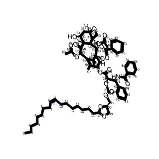 CCCCCCCC/C=C\CCCCCCCC1OC[C@H](COC(=O)O[C@@H](C(=O)O[C@H]2C[C@@]3(O)[C@@H](OC(=O)c4ccccc4)[C@@H]4[C@]5(OC(C)=O)CO[C@@H]5C[C@H](O)[C@@]4(C)C(=O)[C@H](OC(C)=O)C(=C2C)C3(C)C)[C@@H](NC(=O)c2ccccc2)c2ccccc2)O1